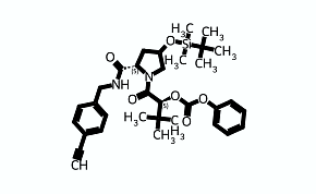 C#Cc1ccc(CNC(=O)[C@@H]2CC(O[Si](C)(C)C(C)(C)C)CN2C(=O)[C@@H](OC(=O)Oc2ccccc2)C(C)(C)C)cc1